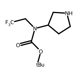 CC(C)(C)OC(=O)N(CC(F)(F)F)C1CCNC1